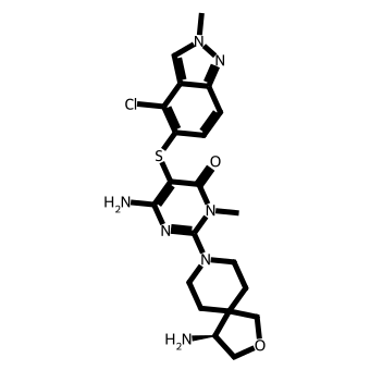 Cn1cc2c(Cl)c(Sc3c(N)nc(N4CCC5(CC4)COC[C@H]5N)n(C)c3=O)ccc2n1